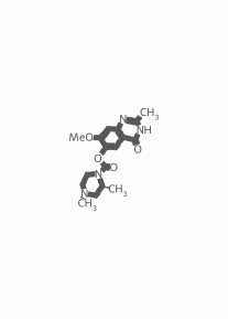 COc1cc2nc(C)[nH]c(=O)c2cc1OC(=O)N1CCN(C)C[C@H]1C